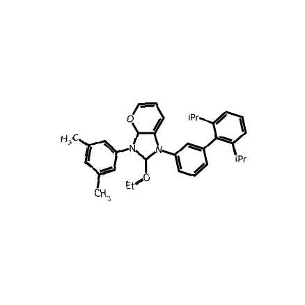 CCOC1N(c2cccc(-c3c(C(C)C)cccc3C(C)C)c2)C2=CC=COC2N1c1cc(C)cc(C)c1